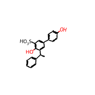 CC(c1ccccc1)c1cc(-c2ccc(O)cc2)cc(S(=O)(=O)O)c1O